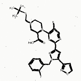 CC(C)(C)OCN1CCN(c2nc(-c3cc(-c4ccon4)n(Cc4ccccc4F)n3)ncc2F)C(C(=O)O)C1